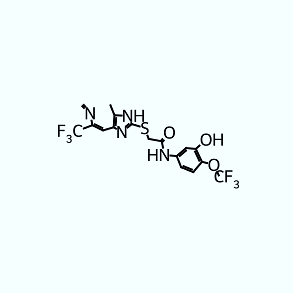 C=N/C(=C\c1nc(SCC(=O)Nc2ccc(OC(F)(F)F)c(O)c2)[nH]c1C)C(F)(F)F